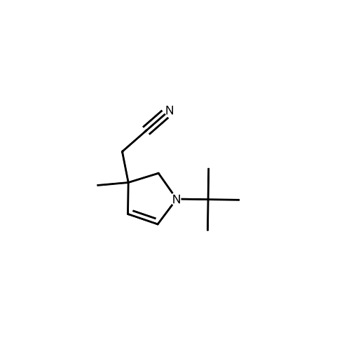 CC1(CC#N)C=CN(C(C)(C)C)C1